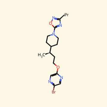 CC(C)c1noc(N2CCC([C@H](C)CCOc3cnc(Br)cn3)CC2)n1